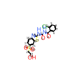 O=C(NC(=O)c1ccccc1Cl)Nc1nc2ccc(S(=O)(=O)CCO)cc2s1